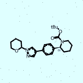 CC(C)(C)OC(=O)N1CCCC[C@H]1c1ccc(-c2cnn(C3CCCCO3)c2)cc1